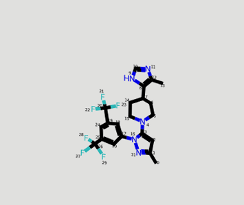 Cc1cc(N2CCC(c3[nH]cnc3C)CC2)n(-c2cc(C(F)(F)F)cc(C(F)(F)F)c2)n1